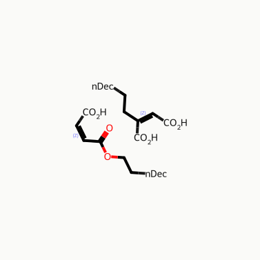 CCCCCCCCCCCC/C(=C/C(=O)O)C(=O)O.CCCCCCCCCCCCOC(=O)/C=C\C(=O)O